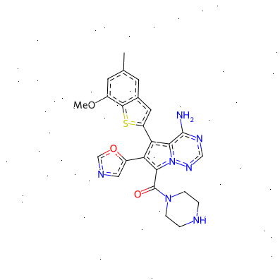 COc1cc(C)cc2cc(-c3c(-c4cnco4)c(C(=O)N4CCNCC4)n4ncnc(N)c34)sc12